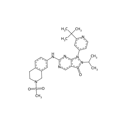 CC(C)n1c(=O)c2cnc(Nc3ccc4c(c3)CN(S(C)(=O)=O)CC4)nc2n1-c1ccnc(C(C)(C)C)c1